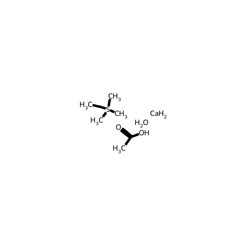 CC(=O)O.CS(C)(C)C.O.[CaH2]